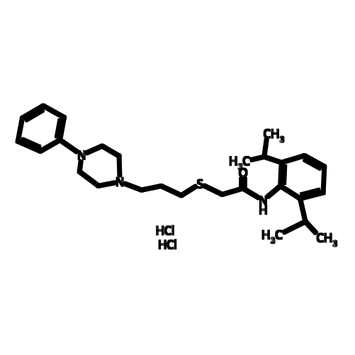 CC(C)c1cccc(C(C)C)c1NC(=O)CSCCCN1CCN(c2ccccc2)CC1.Cl.Cl